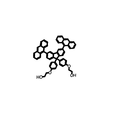 OCCOc1ccc(C2(c3ccc(OCCO)cc3)c3ccc(-c4c5ccccc5cc5ccccc45)cc3-c3cc(-c4c5ccccc5cc5ccccc45)ccc32)cc1